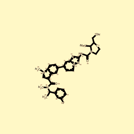 CSC1C(CO)CCCN1C(=O)Nc1nc2cc(-c3ccc4c(c3)c(C(=O)N(C)C(C)c3cccc(F)c3)cn4C)ccn2n1